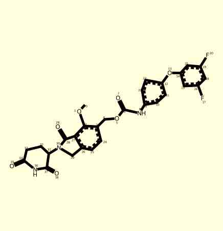 COc1c(COC(=O)Nc2ccc(Oc3cc(F)cc(F)c3)cc2)ccc2c1C(=O)N(C1CCC(=O)NC1=O)C2